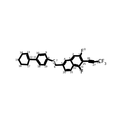 Fc1cc2cc(CSc3ccc(C4=CCCCC4)cc3)ccc2c(F)c1C#CC(F)(F)F